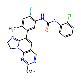 CNc1ncc2c(n1)N1CCN=C1C(c1cc(NC(=O)Nc3ccccc3Cl)c(F)cc1C)=C2